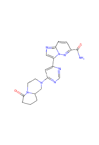 NC(=O)c1ccc2ncc(-c3cc(N4CCN5C(=O)CCCC5C4)ncn3)n2n1